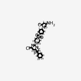 NC1CC(=O)N(c2ccc(S(=O)(=O)N3CCN(c4nc(Cl)cc(C(F)(F)c5ccccc5)n4)CC3)cc2)C1